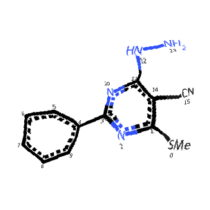 CSc1nc(-c2ccccc2)nc(NN)c1C#N